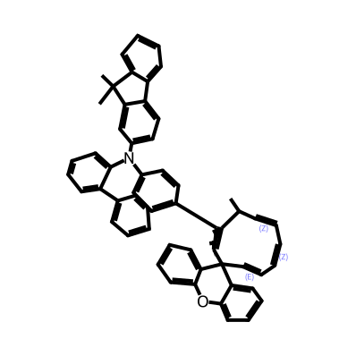 CC1\C=C/C=C\C=C\C2(c3ccccc3Oc3ccccc32)c2ccc(-c3ccc(N(c4ccc5c(c4)C(C)(C)c4ccccc4-5)c4ccccc4-c4ccccc4)cc3)cc21